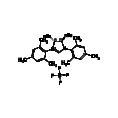 CCCC[C@@H]1[C@@H](CCCC)[N+](c2c(C)cc(C)cc2C)=CN1c1c(C)cc(C)cc1C.F[B-](F)(F)F